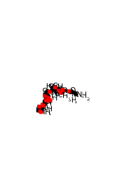 COC(=O)[C@H](CNC(=O)c1ccc2c(cnn2CCCNC2=CCCCN2)c1)NS(=O)(=O)c1c(C)cc(OCCCC(=O)NCCN)cc1C